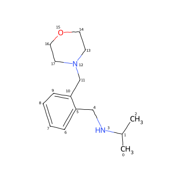 CC(C)NCc1ccccc1CN1CCOCC1